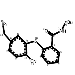 CCCCNC(=O)c1ccccc1Sc1cc(CC(C)C)ccc1C#N